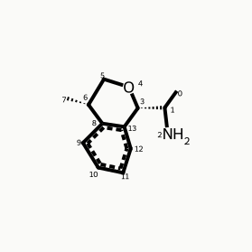 CC(N)[C@H]1OC[C@@H](C)c2ccccc21